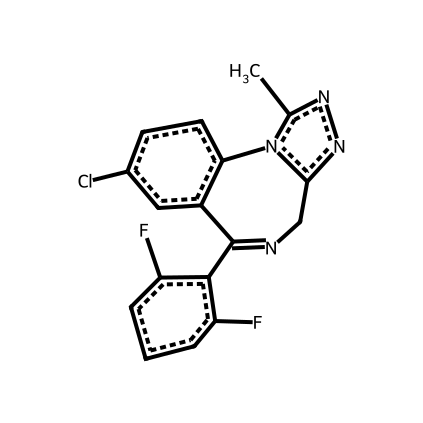 Cc1nnc2n1-c1ccc(Cl)cc1C(c1c(F)cccc1F)=NC2